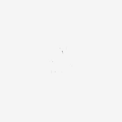 C[C@@]1(O)OC[C@H](O)C1=O